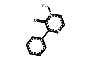 CCCCn1ccnc(-c2ccccc2)c1=O